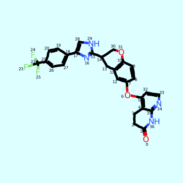 O=C1CCc2c(Oc3ccc4c(c3)CC(c3nc(-c5ccc(C(F)(F)F)cc5)c[nH]3)CO4)ccnc2N1